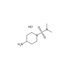 CN(C)S(=O)(=O)N1CCC(N)CC1.Cl